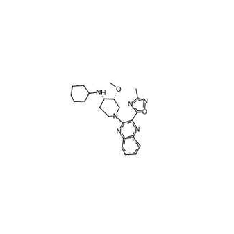 CO[C@@H]1CN(c2nc3ccccc3nc2-c2nc(C)no2)CC[C@@H]1NC1CCCCC1